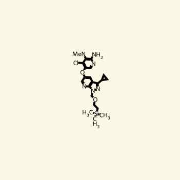 CNc1c(N)ncc(Oc2cnc3c(c2)c(C2CC2)nn3COCC[Si](C)(C)C)c1Cl